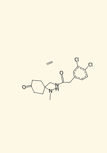 C=C.CN(C)C1(CNC(=O)Cc2ccc(Cl)c(Cl)c2)CCC(=O)CC1